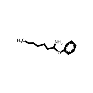 CCCCCCC(N)Oc1ccccc1